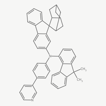 CC1(C)c2ccccc2-c2c(N(c3ccc(-c4cccnc4)cc3)c3ccc4c(c3)C3(c5ccccc5-4)C4CC5CC(C4)C3C5)cccc21